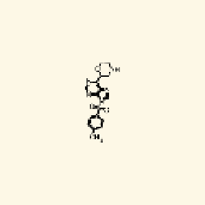 Cc1ccc(S(=O)(=O)n2cnc3c(C4CNCCO4)ncnc32)cc1